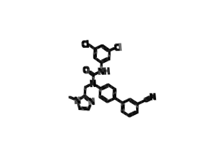 Cn1ccnc1CN(C(=O)Nc1cc(Cl)cc(Cl)c1)c1ccc(-c2cccc(C#N)c2)cc1